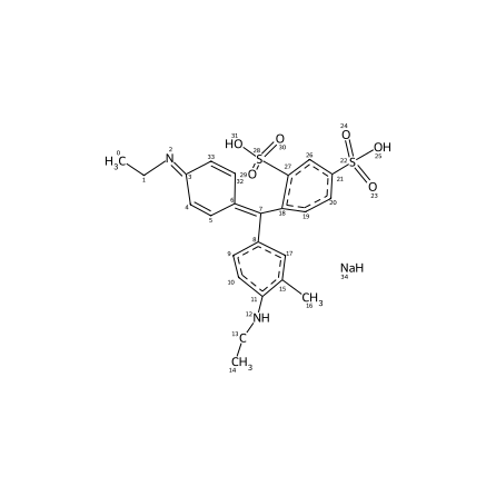 CCN=C1C=CC(=C(c2ccc(NCC)c(C)c2)c2ccc(S(=O)(=O)O)cc2S(=O)(=O)O)C=C1.[NaH]